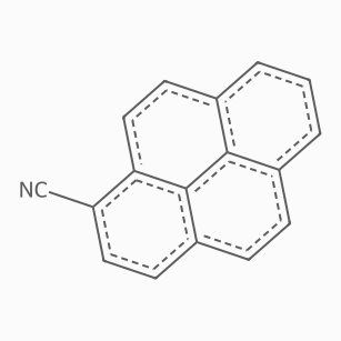 N#Cc1ccc2ccc3cccc4ccc1c2c34